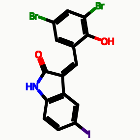 O=C1Nc2ccc(I)cc2C1=Cc1cc(Br)cc(Br)c1O